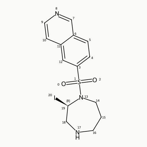 O=S(=O)(c1ccc2cnccc2c1)N1CCCNC[C@H]1I